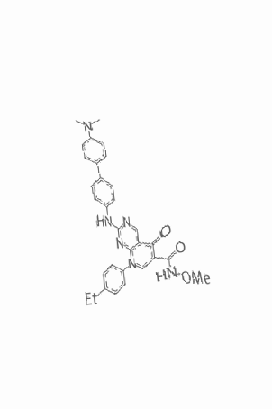 CCc1ccc(-n2cc(C(=O)NOC)c(=O)c3cnc(Nc4ccc(-c5ccc(N(C)C)cc5)cc4)nc32)cc1